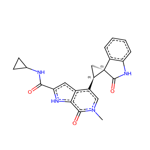 Cn1cc([C@H]2C[C@]23C(=O)Nc2ccccc23)c2cc(C(=O)NC3CC3)[nH]c2c1=O